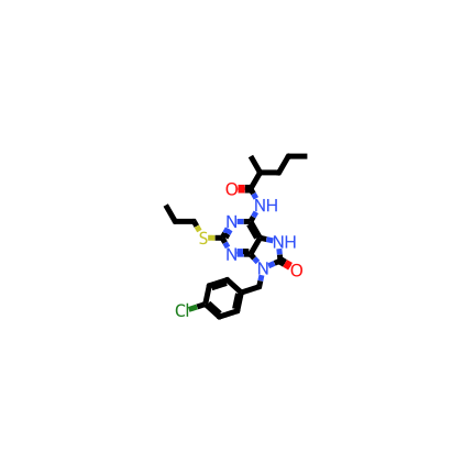 CCCSc1nc(NC(=O)C(C)CCC)c2[nH]c(=O)n(Cc3ccc(Cl)cc3)c2n1